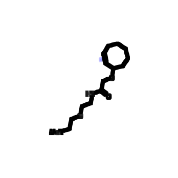 CNCCOCCNC(=O)COC1/C=C\CCCCC1